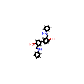 Oc1ccc(-c2ccc(O)c(CNc3ccccc3)c2)cc1CNc1ccccc1